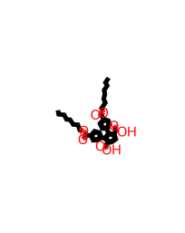 CCCCCCCCOC(=O)c1ccc(-c2c(C(=O)O)ccc(C(=O)O)c2-c2ccc(C(=O)OCCCCCCCC)cc2)cc1